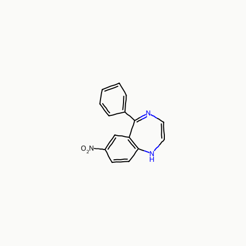 O=[N+]([O-])c1ccc2c(c1)C(c1ccccc1)=NC=CN2